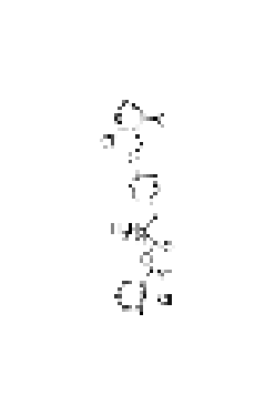 N[C@@H](Cc1ccc(OCc2c(Cl)cccc2Cl)cc1)C(=O)OC(=O)c1cccnc1Cl